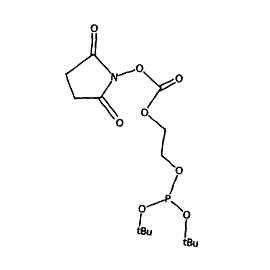 CC(C)(C)OP(OCCOC(=O)ON1C(=O)CCC1=O)OC(C)(C)C